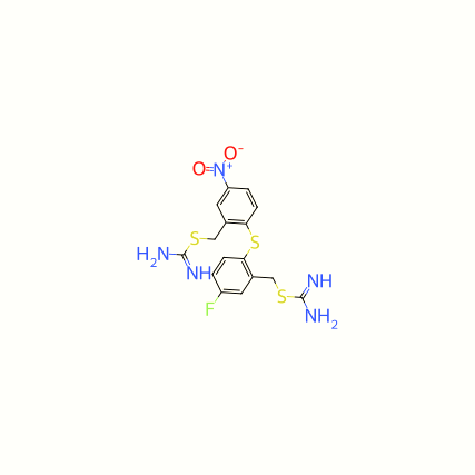 N=C(N)SCc1cc(F)ccc1Sc1ccc([N+](=O)[O-])cc1CSC(=N)N